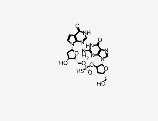 Nc1nc2c(ncn2[C@@H]2O[C@H](CO)CC2OP(=O)(S)OC[C@H]2O[C@@H](n3ccc4c(=O)[nH]cnc43)C[C@@H]2O)c(=O)[nH]1